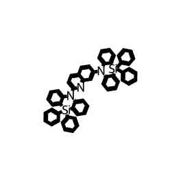 c1ccc([Si]2(c3ccccc3)c3ccccc3N(c3ccc4ccc(N5c6ccccc6[Si](c6ccccc6)(c6ccccc6)c6ccccc65)nc4c3)c3ccccc32)cc1